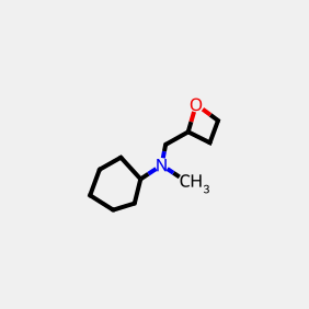 CN(CC1CCO1)C1CCCCC1